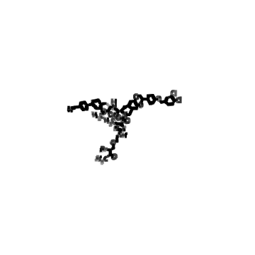 COC(=O)[C@H](Cc1ccc(-c2ccc(C#N)cc2)cc1)NC(=O)[C@@H]1Cc2cc3c(cc2CN1S(=O)(=O)c1sc(NCCOCC(Br)C(C)=O)nc1C)OC(c1ccc(OCc2ccc(Cl)c(Cl)c2)cc1)CO3